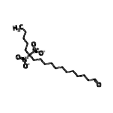 CCCCCC(CCCCCCCCCCCC=O)([N+](=O)[O-])[N+](=O)[O-]